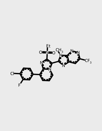 CCS(=O)(=O)c1nc2c(-c3ccc(Cl)c(F)c3)cccn2c1-c1nc2cc(C(F)(F)F)nnc2n1C